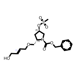 CS(=O)(=O)O[C@@H]1C[C@@H](COC/C=C/CO)N(C(=O)OCc2ccccc2)C1